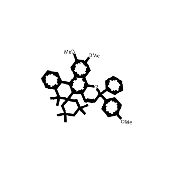 COc1ccc(C2(c3ccccc3)C=Cc3c4c(c5cc(OC)c(OC)cc5c3O2)-c2ccccc2C(C)(C)C42CC(C)(C)CC(C)(C)C2)cc1